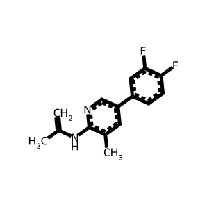 C=C(C)Nc1ncc(-c2ccc(F)c(F)c2)cc1C